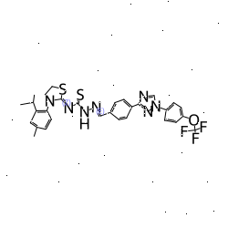 Cc1ccc(N2CCS/C2=N\C(=S)N/N=C/c2ccc(-c3ncn(-c4ccc(OC(F)(F)F)cc4)n3)cc2)c(C(C)C)c1